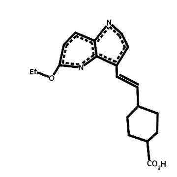 CCOc1ccc2nccc(/C=C/C3CCC(C(=O)O)CC3)c2n1